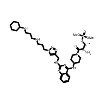 COP(=O)(OC)O[C@H](C)[C@H](N)C(=O)N1CCC(Nc2nc(NCc3cn(CCCNCCCNC4CCCCC4)nn3)nc3ccccc23)CC1